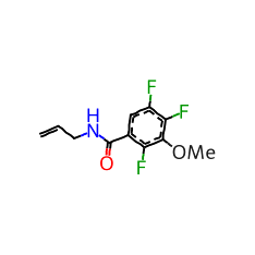 C=CCNC(=O)c1cc(F)c(F)c(OC)c1F